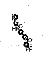 O=C(Nc1ccc(C2CCN(C(=O)c3cccc(C(F)(F)F)c3)CC2)cc1)[C@H]1CCN(c2cccnn2)C1